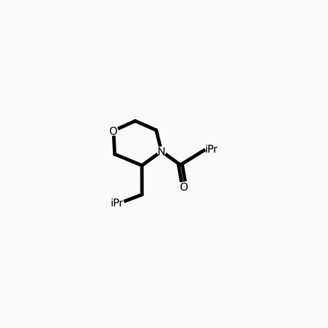 CC(C)CC1COCCN1C(=O)C(C)C